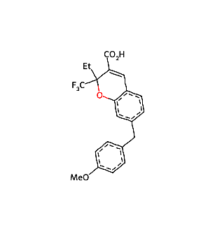 CCC1(C(F)(F)F)Oc2cc(Cc3ccc(OC)cc3)ccc2C=C1C(=O)O